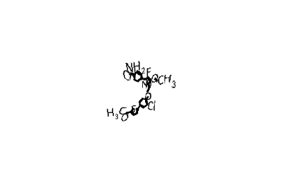 CCOc1c(F)c(-c2ccc(C(N)=O)cc2)nn1CCOc1ccc(-c2ccc(C(C)=O)s2)cc1Cl